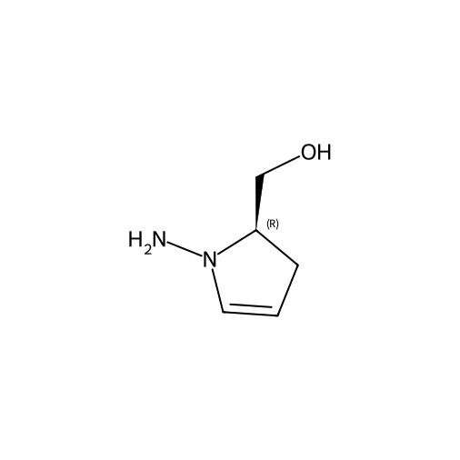 NN1C=CC[C@@H]1CO